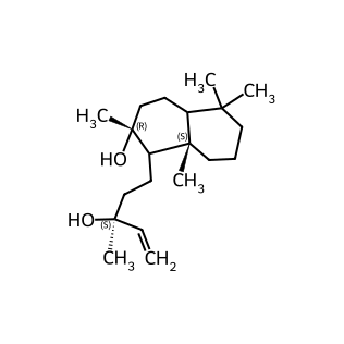 C=C[C@@](C)(O)CCC1[C@@]2(C)CCCC(C)(C)C2CC[C@@]1(C)O